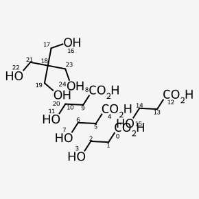 O=C(O)CCO.O=C(O)CCO.O=C(O)CCO.O=C(O)CCO.OCC(CO)(CO)CO